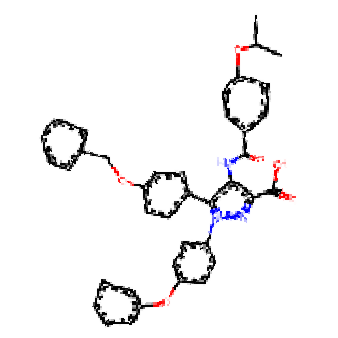 CC(C)Oc1ccc(C(=O)Nc2c(C(=O)O)nn(-c3ccc(Oc4ccccc4)cc3)c2-c2ccc(OCc3ccccc3)cc2)cc1